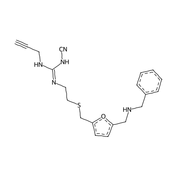 C#CCN/C(=N/CCSCc1ccc(CNCc2ccccc2)o1)NC#N